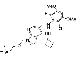 COc1cc(OC)c(Cl)c(NCc2cnc3c(ccn3COCC[Si](C)(C)C)c2NC2CCC2)c1F